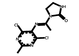 CC(=Nc1c(Cl)nc(C)nc1Cl)N1CCNC1=O